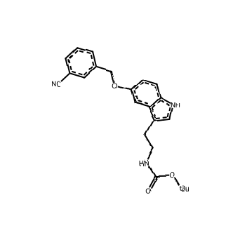 CC(C)(C)OC(=O)NCCc1c[nH]c2ccc(OCc3cccc(C#N)c3)cc12